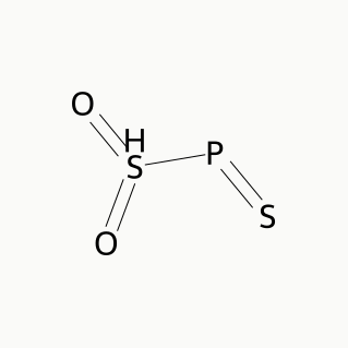 O=[SH](=O)P=S